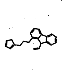 C=CC1c2ccccc2-c2cccc(CCCC3=CC=CC3)c21